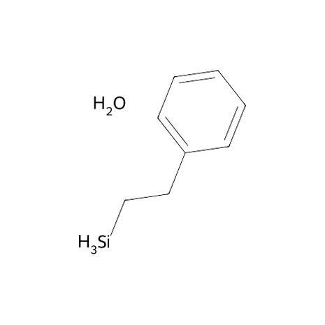 O.[SiH3]CCc1ccccc1